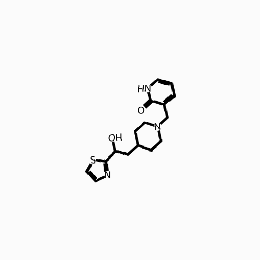 O=c1[nH]cccc1CN1CCC(CC(O)c2nccs2)CC1